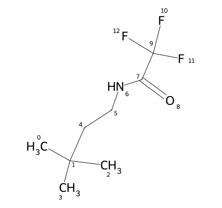 CC(C)(C)CCNC(=O)C(F)(F)F